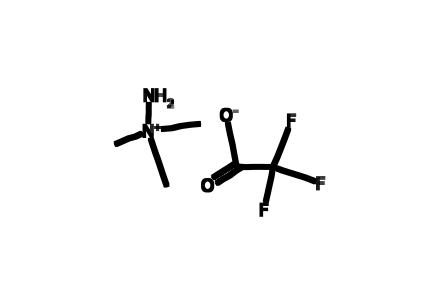 C[N+](C)(C)N.O=C([O-])C(F)(F)F